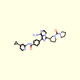 Nc1nccn2c(C3CCCN(C(=O)N4CCCC4)C3)nc(-c3ccc(C(=O)Nc4cc(C5CC5)ccn4)cc3)c12